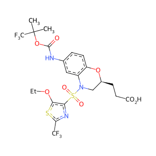 CCOc1sc(C(F)(F)F)nc1S(=O)(=O)N1C[C@H](CCC(=O)O)Oc2ccc(NC(=O)OC(C)(C)C(F)(F)F)cc21